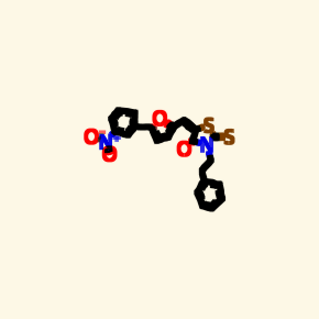 O=C1/C(=C\c2ccc(-c3cccc([N+](=O)[O-])c3)o2)SC(=S)N1CCc1ccccc1